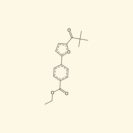 CCOC(=O)c1ccc(-c2ccc(C(=O)C(C)(C)C)o2)cc1